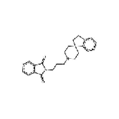 O=C1c2ccccc2C(=O)N1CCCN1CCC2(CCc3ccccc32)CC1